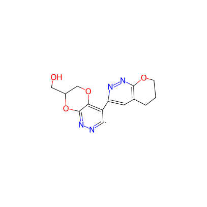 OCC1COc2c(-c3cc4c(nn3)OCCC4)[c]nnc2O1